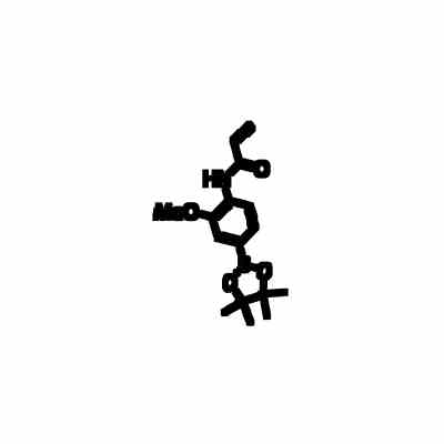 C=CC(=O)Nc1ccc(B2OC(C)(C)C(C)(C)O2)cc1OC